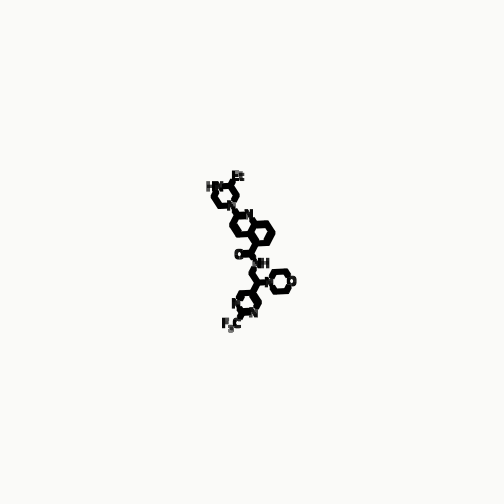 CCC1CN(c2ccc3c(C(=O)NCC(c4cnc(C(F)(F)F)nc4)N4CCOCC4)cccc3n2)CCN1